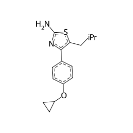 CC(C)Cc1sc(N)nc1-c1ccc(OC2CC2)cc1